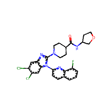 O=C(NC1CCOC1)C1CCN(c2nc3cc(Cl)c(Cl)cc3n2-c2ccc3cccc(F)c3n2)CC1